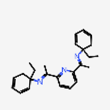 CCC1(N=C(C)c2cccc(C(C)=NC3(CC)C=CC=CC3)n2)C=CC=CC1